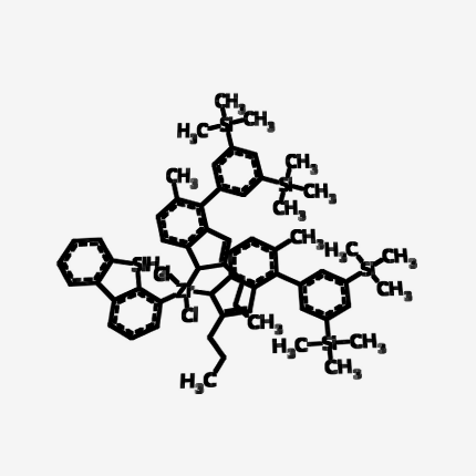 CCCC1=Cc2c(ccc(C)c2-c2cc([Si](C)(C)C)cc([Si](C)(C)C)c2)[CH]1[Zr]([Cl])([Cl])([c]1cccc2c1[SiH2]c1ccccc1-2)[CH]1C(CCC)=Cc2c1ccc(C)c2-c1cc([Si](C)(C)C)cc([Si](C)(C)C)c1